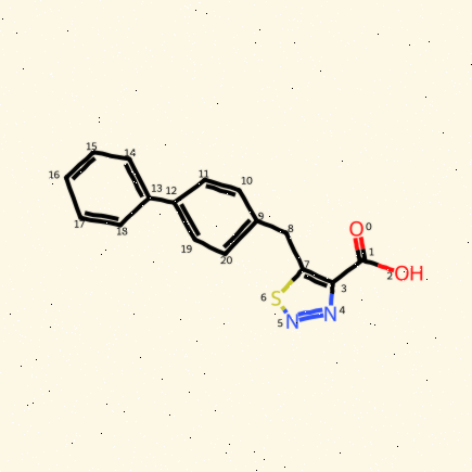 O=C(O)c1nnsc1Cc1ccc(-c2ccccc2)cc1